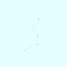 N#C[C@@H]1O[C@@H]1c1ccc(Cl)cc1